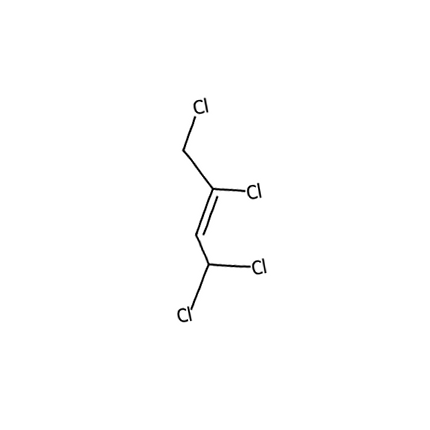 ClCC(Cl)=CC(Cl)Cl